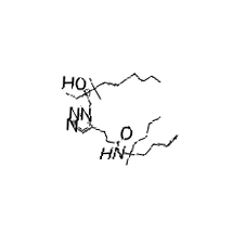 CCCCCCC(C)(C)[C@@](O)(CC)Cn1nncc1CCC(=O)NC(C)(CCCC)CCCC